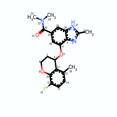 Cc1nc2c(OC3CCOc4c(F)ccc(C)c43)cc(C(=O)N(C)C)cc2[nH]1